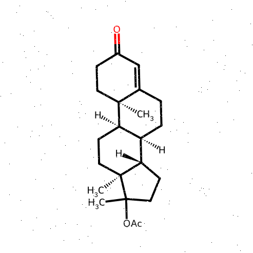 CC(=O)OC1(C)CC[C@H]2[C@@H]3CCC4=CC(=O)CC[C@]4(C)[C@@H]3CC[C@@]21C